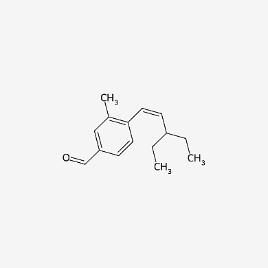 CCC(/C=C\c1ccc(C=O)cc1C)CC